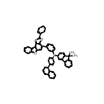 CC1(C)c2ccccc2-c2cc(N(c3ccc(-c4cccc5ccccc45)cc3)c3cccc(-c4cc5oc6ccccc6c5c5nc(-c6ccccc6)oc45)c3)ccc21